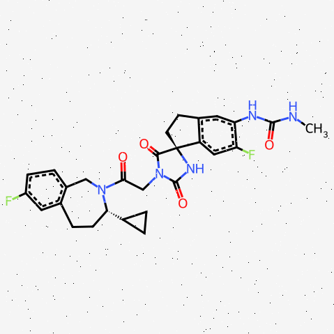 CNC(=O)Nc1cc2c(cc1F)[C@]1(CC2)NC(=O)N(CC(=O)N2Cc3ccc(F)cc3CC[C@H]2C2CC2)C1=O